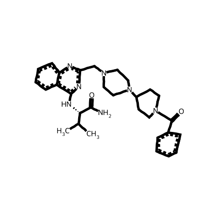 CC(C)[C@H](Nc1nc(CN2CCN(C3CCN(C(=O)c4ccccc4)CC3)CC2)nc2ccccc12)C(N)=O